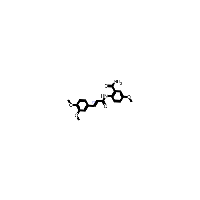 COc1ccc(NC(=O)/C=C/c2ccc(OC)c(OC)c2)c(C(N)=O)c1